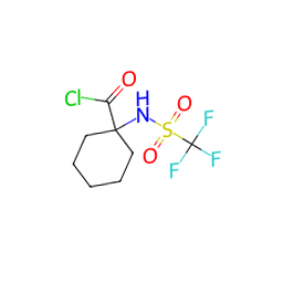 O=C(Cl)C1(NS(=O)(=O)C(F)(F)F)CCCCC1